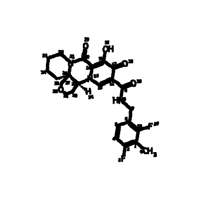 Cc1c(F)ccc(CNC(=O)c2cn3c(c(O)c2=O)C(=O)N2CCCC[C@]24COCC[C@H]34)c1F